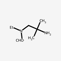 CCN([C]=O)CC(C)(C)N